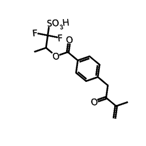 C=C(C)C(=O)Cc1ccc(C(=O)OC(C)C(F)(F)S(=O)(=O)O)cc1